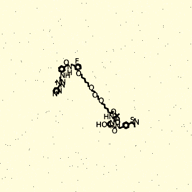 Cc1ncsc1-c1ccc(CNC(=O)[C@@H]2C[C@@H](O)CN2C(=O)[C@@H](NC(=O)CCCCCOCCOCCOCCCCCCOc2ccc(F)c(CNC(=O)c3cccc(NCc4nnc(-c5ccncn5)n4C)c3)c2)C(C)(C)C)cc1